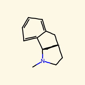 CN1CCC23CCCCC12c1ccccc1C3